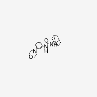 O=C(Nc1cccc(N2CCOCC2)c1)NC12CC3CC(CC(C3)C1)C2